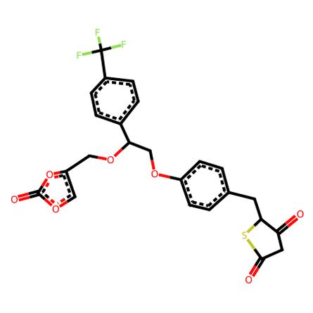 O=C1CC(=O)C(Cc2ccc(OCC(OCc3coc(=O)o3)c3ccc(C(F)(F)F)cc3)cc2)S1